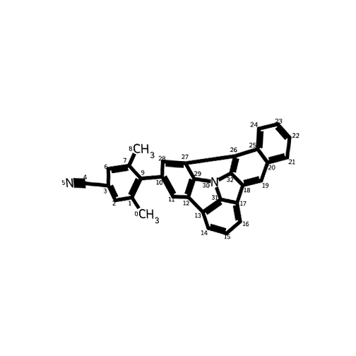 Cc1cc(C#N)cc(C)c1-c1cc2c3cccc4c5cc6ccccc6c6c(c1)c2n(c34)c56